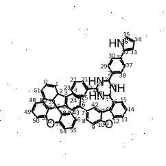 C1=CC2c3ccc(-c4ccc5oc6cccc(C7NC(c8ccccc8)NC(c8ccc(-c9ccc[nH]9)cc8)N7)c6c5c4)cc3C3(c4ccccc4Oc4ccccc43)C2C=C1